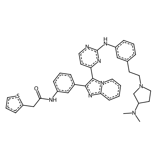 CN(C)C1CCN(CCc2cccc(Nc3nccc(-c4c(-c5cccc(NC(=O)Cc6cccs6)c5)nc5ccccn45)n3)c2)C1